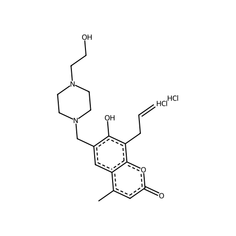 C=CCc1c(O)c(CN2CCN(CCO)CC2)cc2c(C)cc(=O)oc12.Cl.Cl